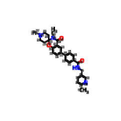 Cc1ccc(CNC(=O)c2ccc(-c3ccc4c(c3)C(=O)N(C)C3(CCN(C(C)C)CC3)O4)cc2)cn1